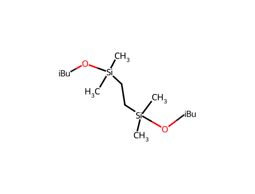 CCC(C)O[Si](C)(C)CC[Si](C)(C)OC(C)CC